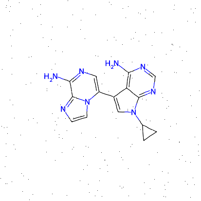 Nc1ncnc2c1c(-c1cnc(N)c3nccn13)cn2C1CC1